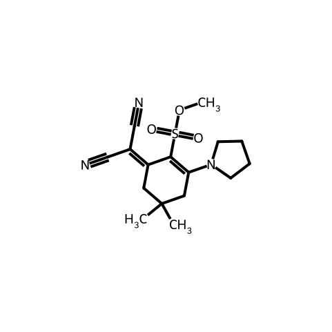 COS(=O)(=O)C1=C(N2CCCC2)CC(C)(C)CC1=C(C#N)C#N